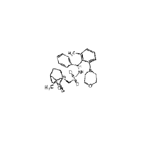 Cc1cccc(N2CCOCC2)c1[C@H](NS(=O)(=O)C[C@@]12CCC(CC1=O)C2(C)C)c1ccccc1